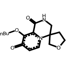 CCCCOc1c2n(ccc1=O)C1(CCOC1)CNC2=O